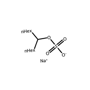 CCCCCCC(CCCCCC)OS(=O)(=O)[O-].[Na+]